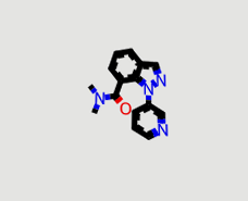 CN(C)C(=O)c1cccc2cnn(-c3cccnc3)c12